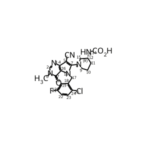 Cn1cnc2c(C#N)c(N3CCC[C@@H](NC(=O)O)C3)n(Cc3cc(F)ccc3Cl)c2c1=O